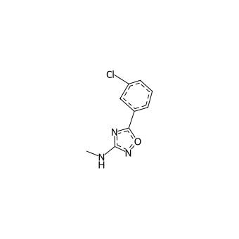 CNc1noc(-c2cccc(Cl)c2)n1